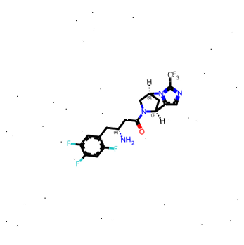 N[C@@H](CC(=O)N1C[C@@H]2C[C@H]1c1cnc(C(F)(F)F)n12)Cc1cc(F)c(F)cc1F